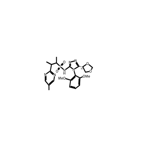 COc1cccc(OC)c1-n1c(NS(=O)(=O)C(C)C(C)c2ncc(C)cn2)nnc1[C@H]1COCO1